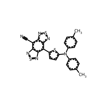 Cc1ccc(N(c2ccc(C)cc2)c2ccc(-c3c4c(c(C#N)c5nsnc35)N=S=N4)s2)cc1